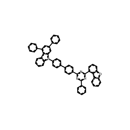 c1ccc(-c2cc(-c3ccccc3)c3c4ccccc4n(-c4ccc(-c5ccc(-c6nc(-c7ccccc7)nc(-c7cccc8oc9ccccc9c78)n6)cc5)cc4)c3c2)cc1